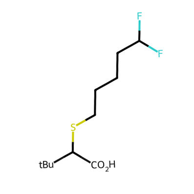 CC(C)(C)C(SCCCCC(F)F)C(=O)O